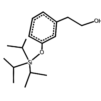 CC(C)[Si](Oc1cccc(CCO)c1)(C(C)C)C(C)C